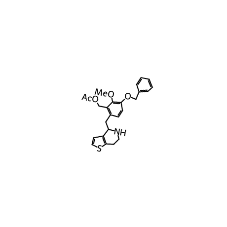 COc1c(OCc2ccccc2)ccc(CC2NCCc3sccc32)c1COC(C)=O